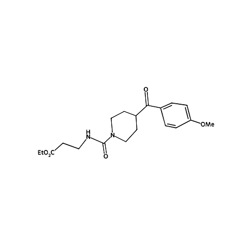 CCOC(=O)CCNC(=O)N1CCC(C(=O)c2ccc(OC)cc2)CC1